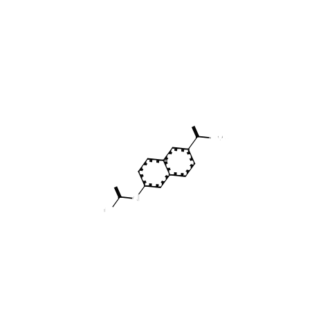 COC(=O)c1ccc2cc(NC(=O)C(C)C)ccc2c1